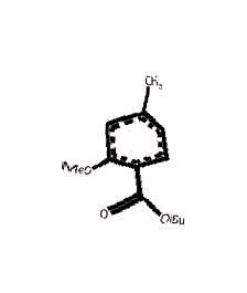 COc1cc(C)ccc1C(=O)OCC(C)C